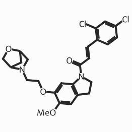 COc1cc2c(cc1OCCN1CC3CC1CO3)N(C(=O)C=Cc1ccc(Cl)cc1Cl)CC2